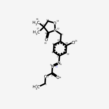 CCOC(=O)/N=N/c1ccc(CN2OCC(C)(C)C2=O)c(Cl)c1